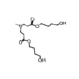 CN(CCC(=O)OCCCCO)CCC(=O)OCCCCO